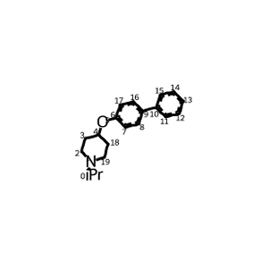 CC(C)N1CCC(Oc2ccc(-c3ccccc3)cc2)CC1